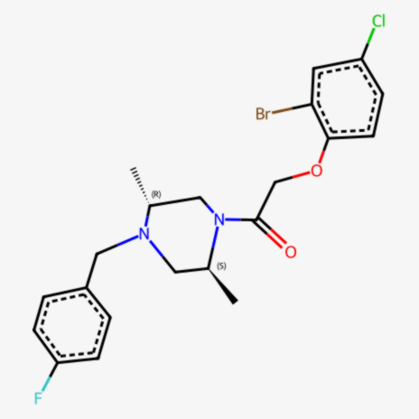 C[C@@H]1CN(C(=O)COc2ccc(Cl)cc2Br)[C@@H](C)CN1Cc1ccc(F)cc1